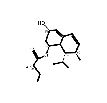 CC[C@H](C)C(=O)O[C@H]1C[C@H](O)C=C2C=C[C@@H](C)[C@H](C(C)C)C21